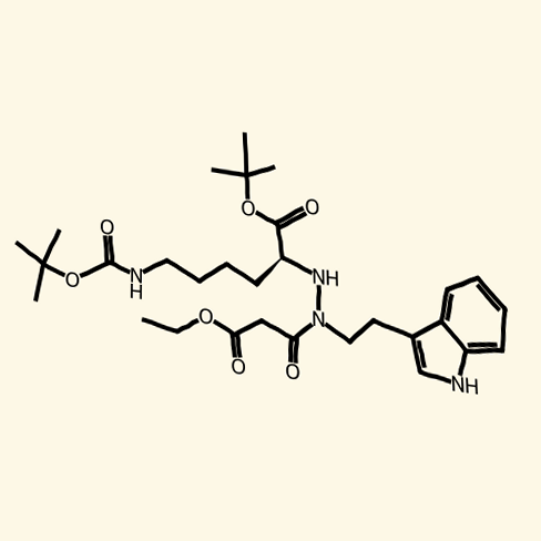 CCOC(=O)CC(=O)N(CCc1c[nH]c2ccccc12)N[C@@H](CCCCNC(=O)OC(C)(C)C)C(=O)OC(C)(C)C